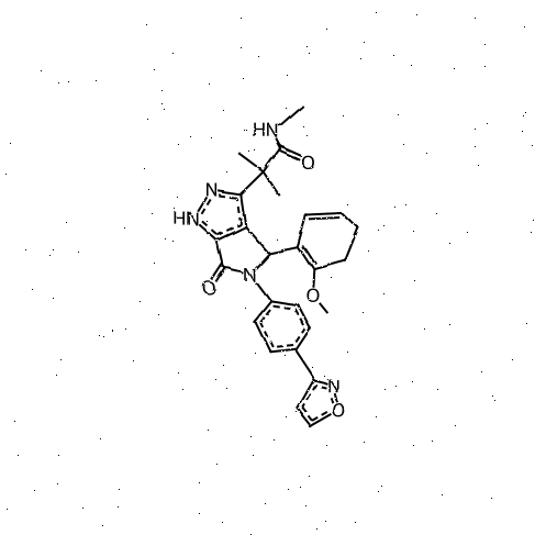 CNC(=O)C(C)(C)c1n[nH]c2c1C(C1=C(OC)CCC=C1)N(c1ccc(-c3ccon3)cc1)C2=O